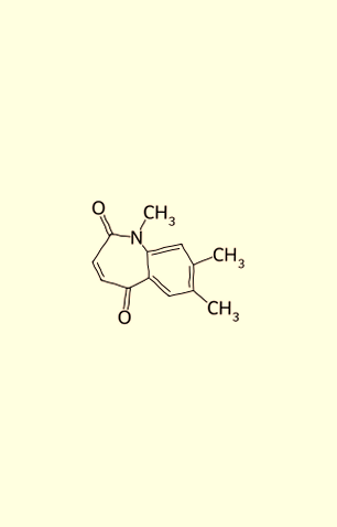 Cc1cc2c(=O)ccc(=O)n(C)c2cc1C